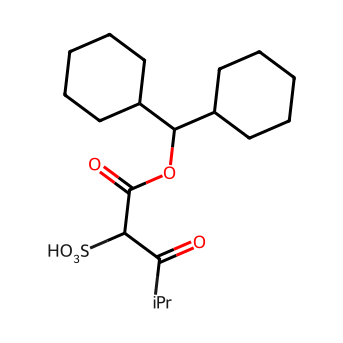 CC(C)C(=O)C(C(=O)OC(C1CCCCC1)C1CCCCC1)S(=O)(=O)O